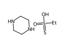 C1CNCCN1.CCS(=O)(O)=S